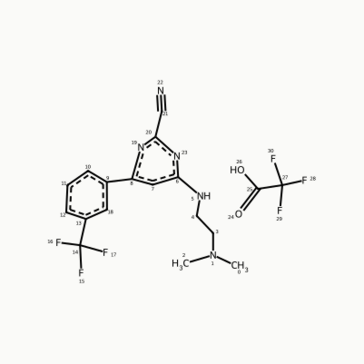 CN(C)CCNc1cc(-c2cccc(C(F)(F)F)c2)nc(C#N)n1.O=C(O)C(F)(F)F